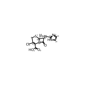 O=C(O)C1=C(Cl)CS[C@H]2C(Nc3ncc[nH]3)C(=O)N12